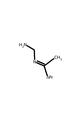 CCCC(C)=NCN